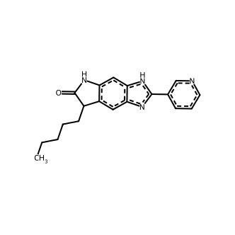 CCCCCC1C(=O)Nc2cc3[nH]c(-c4cccnc4)nc3cc21